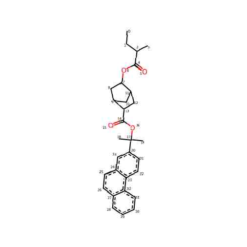 CCC(C)C(=O)OC1CC2CC1CC2C(=O)OC(C)(C)c1ccc2c(ccc3ccccc32)c1